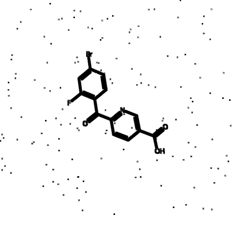 O=C(O)c1ccc(C(=O)c2ccc(Br)cc2F)nc1